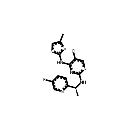 Cc1cnc(Nc2nc(N[C@@H](C)c3ccc(F)cn3)ncc2Cl)s1